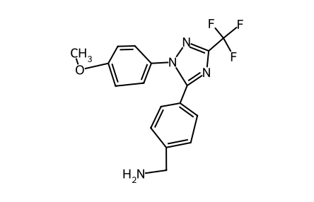 COc1ccc(-n2nc(C(F)(F)F)nc2-c2ccc(CN)cc2)cc1